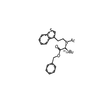 CC[C@H](C)[C@@H](C(=O)OCc1ccccc1)N(CCc1csc2ccccc12)C(C)=O